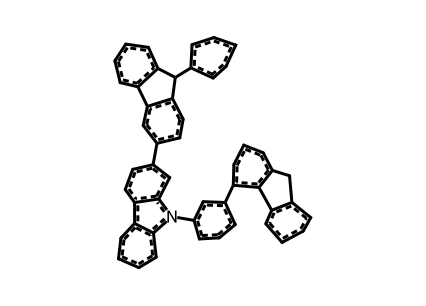 c1ccc(C2c3ccccc3-c3cc(-c4ccc5c6ccccc6n(-c6cccc(-c7cccc8c7-c7ccccc7C8)c6)c5c4)ccc32)cc1